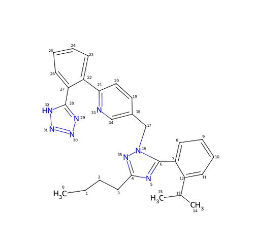 CCCCc1nc(-c2ccccc2C(C)C)n(Cc2ccc(-c3ccccc3-c3nnn[nH]3)nc2)n1